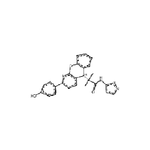 CC(C)(C(=O)Nc1nncs1)[C@H]1c2ccccc2Oc2nc(-c3ccc(O)cc3)ccc21